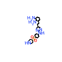 Nc1cccc(C=Cc2cnc(Nc3ccc(S(=O)(=O)C4CCNCC4)cc3)nc2)c1N